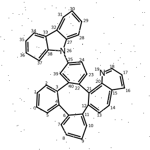 c1ccc2c(c1)-c1ccccc1-c1ccc3cccnc3c1-c1ccc(-n3c4ccccc4c4ccccc43)cc1-2